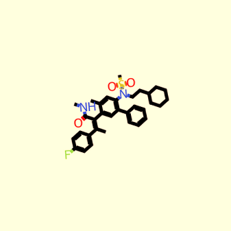 CNC(=O)/C(=C(/C)c1ccc(F)cc1)c1cc(-c2ccccc2)c(N(CCC2CCCCC2)S(C)(=O)=O)cc1C